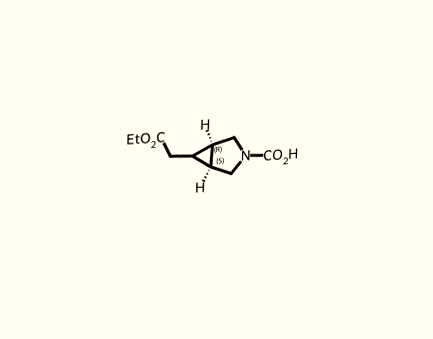 CCOC(=O)CC1[C@H]2CN(C(=O)O)C[C@@H]12